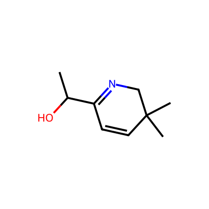 CC(O)C1=NCC(C)(C)C=C1